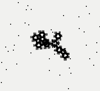 c1ccc(-c2nc(-c3ccc(-c4cccc5c4C4(c6ccccc6-c6ccccc64)c4ccccc4-5)cc3)nc(-c3ccc4c(c3)sc3ccccc34)n2)cc1